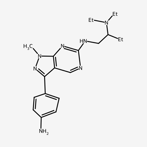 CCC(CNc1ncc2c(-c3ccc(N)cc3)nn(C)c2n1)N(CC)CC